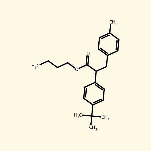 CCCCOC(=O)C(Cc1ccc(C)cc1)c1ccc(C(C)(C)C)cc1